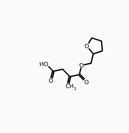 C=C(CC(=O)O)C(=O)OCC1CCCO1